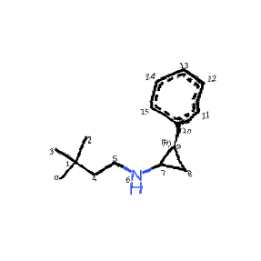 CC(C)(C)CCNC1C[C@@H]1c1ccccc1